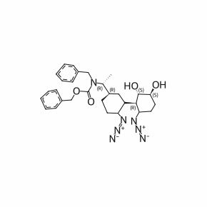 C[C@H]([C@@H]1CCC(N=[N+]=[N-])C([C@@H]2C(N=[N+]=[N-])CC[C@H](O)[C@H]2O)C1)N(Cc1ccccc1)C(=O)OCc1ccccc1